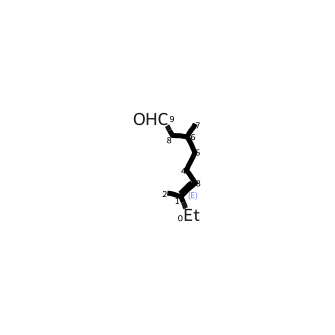 CC/C(C)=C/CCC(C)CC=O